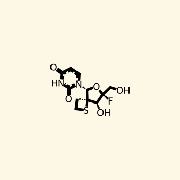 O=c1ccn([C@@H]2O[C@](F)(CO)[C@@H](O)[C@]23CCS3)c(=O)[nH]1